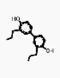 CCCc1cc(-c2ccc(O)c(CCC)c2)ccc1O